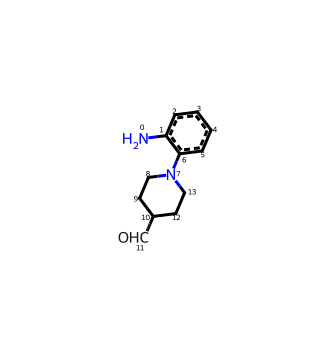 Nc1ccccc1N1CCC(C=O)CC1